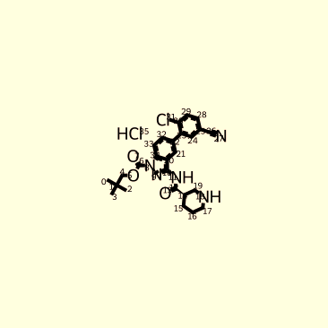 CC(C)(C)COC(=O)n1nc(NC(=O)[C@@H]2CCCNC2)c2cc(-c3cc(C#N)ccc3Cl)ccc21.Cl